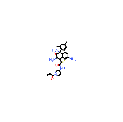 C=CC(=O)N1CCC(NC(=O)c2sc3c(N)ccc4c3c2C(N)C(=O)C4(N)c2ccc(C)cc2C)C1